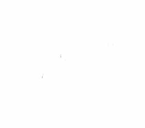 CCCCCC1COC(C2CCC(c3cc(F)c(C4CCC(C(F)(F)Oc5cc(F)c(F)c(F)c5)CC4)c(F)c3)CC2)OC1